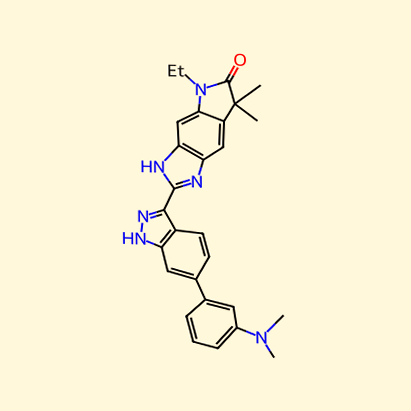 CCN1C(=O)C(C)(C)c2cc3nc(-c4n[nH]c5cc(-c6cccc(N(C)C)c6)ccc45)[nH]c3cc21